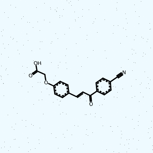 N#Cc1ccc(C(=O)C=Cc2ccc(OCC(=O)O)cc2)cc1